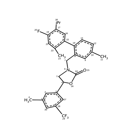 Cc1cc(C2CN(Cc3cc(C)ccc3-c3cc(C(C)C)c(F)cc3C)C(=O)O2)cc(C(F)(F)F)c1